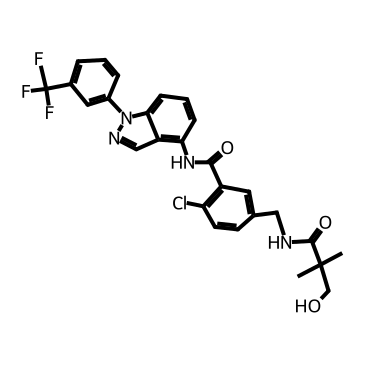 CC(C)(CO)C(=O)NCc1ccc(Cl)c(C(=O)Nc2cccc3c2cnn3-c2cccc(C(F)(F)F)c2)c1